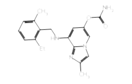 CCc1cccc(C)c1CNc1cc(OC(N)=O)cn2cc(C)nc12